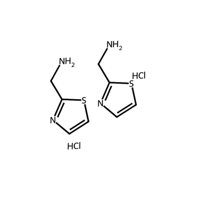 Cl.Cl.NCc1nccs1.NCc1nccs1